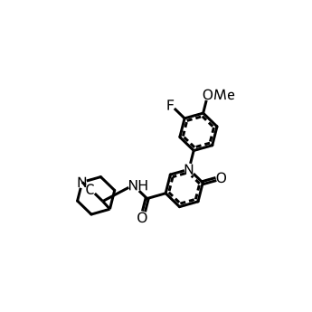 COc1ccc(-n2cc(C(=O)NC3CN4CCC3CC4)ccc2=O)cc1F